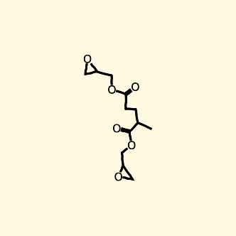 CC(CCC(=O)OCC1CO1)C(=O)OCC1CO1